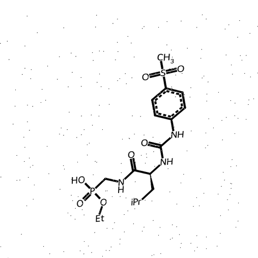 CCOP(=O)(O)CNC(=O)[C@H](CC(C)C)NC(=O)Nc1ccc(S(C)(=O)=O)cc1